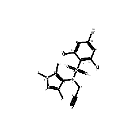 C#CCN(c1c(C)nn(C)c1C)S(=O)(=O)c1c(Cl)cc(Br)cc1Cl